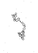 CCC1COCCN1c1ccn2ncc(-c3cn(C4CCC(CN5CCC(OCC#Cc6cccc7c6ccc6onc(C8CCC(=O)NC8=O)c67)CC5)CC4)nc3C(F)F)c2n1